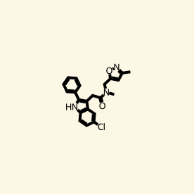 Cc1cc(CN(C)C(=O)Cc2c(-c3ccccc3)[nH]c3ccc(Cl)cc23)on1